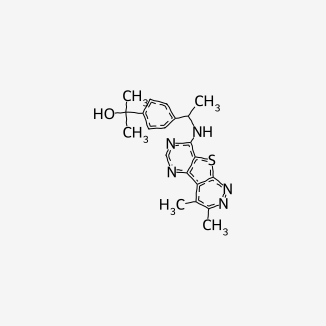 Cc1nnc2sc3c(NC(C)c4ccc(C(C)(C)O)cc4)ncnc3c2c1C